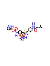 CC(C)CCC(=O)NC1CCC(c2ncc(-c3ccc(NC(=O)OC[C@@H]4CCCN4)cc3S(=O)(=O)NC(C)(C)C)s2)CC1